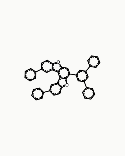 c1ccc(-c2cc(-c3ccccc3)cc(-c3cc4oc5ccc(-c6ccccc6)cc5c4c4c3oc3ccc(-c5ccccc5)cc34)c2)cc1